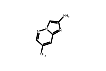 Cc1cnn2cc(N)nc2c1